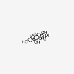 C[C@]12C[C@@H](O)[C@@H]3C(=CC=C4C[C@@H](O)CC[C@]43C)[C@@H]1CC[C@]2(O)[C@@H](O)CO